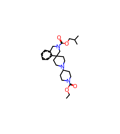 CCOC(=O)N1CCC(N2CCC3(CC2)CN(C(=O)OCC(C)C)Cc2ccccc23)CC1